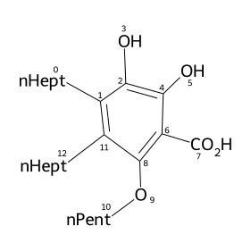 CCCCCCCc1c(O)c(O)c(C(=O)O)c(OCCCCC)c1CCCCCCC